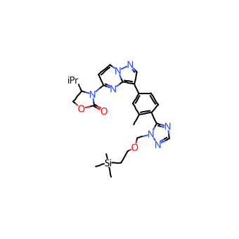 Cc1cc(-c2cnn3ccc(N4C(=O)OCC4C(C)C)nc23)ccc1-c1ncnn1COCC[Si](C)(C)C